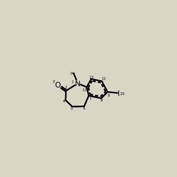 CN1C(=O)CCCc2cc(I)ccc21